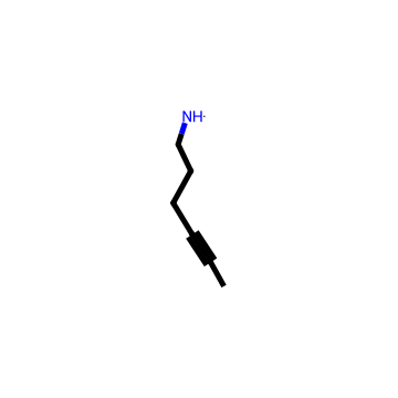 CC#CCCC[NH]